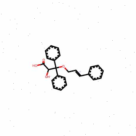 O=C(O)C(O)C(OC/C=C/c1ccccc1)(c1ccccc1)c1ccccc1